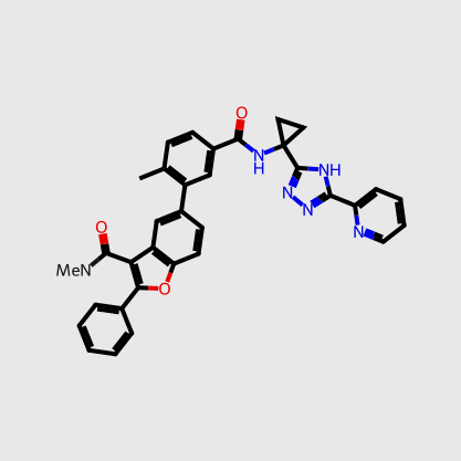 CNC(=O)c1c(-c2ccccc2)oc2ccc(-c3cc(C(=O)NC4(c5nnc(-c6ccccn6)[nH]5)CC4)ccc3C)cc12